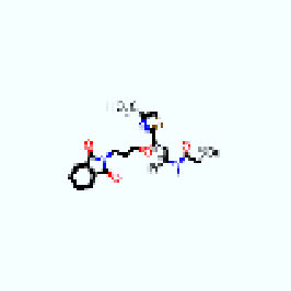 CC[C@H](C)CC(=O)N(C)[C@H](C[C@@H](OCCCN1C(=O)c2ccccc2C1=O)c1nc(C(=O)O)cs1)C(C)C